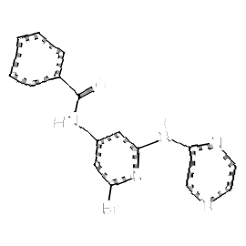 O=C(Nc1cc(Br)nc(Nc2cnccn2)c1)c1ccccc1